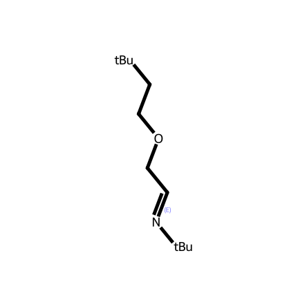 CC(C)(C)CCOC/C=N/C(C)(C)C